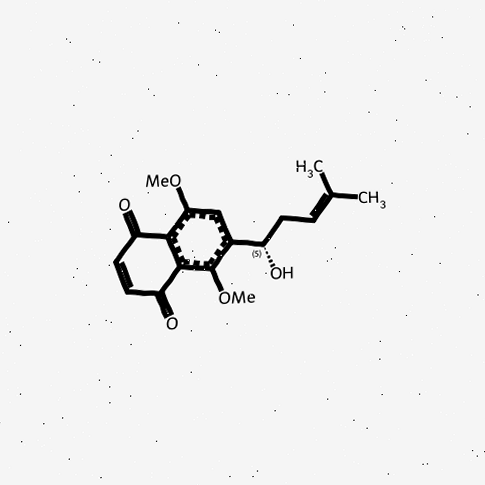 COc1cc([C@@H](O)CC=C(C)C)c(OC)c2c1C(=O)C=CC2=O